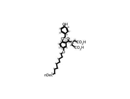 CCCCCCCCCCCCCCCCCCOc1ccc(OCc2ccc(O)cc2)c(C(=O)N(CC(=O)O)CC(=O)O)c1